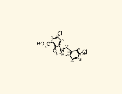 O=C(O)c1cc(Cl)cc2c1OCCN2Cc1cccc(Cl)c1